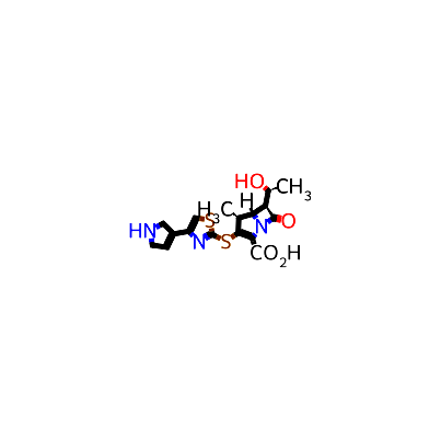 C[C@@H](O)[C@H]1C(=O)N2C(C(=O)O)=C(Sc3nc(C4=CCNC4)cs3)[C@H](C)[C@H]12